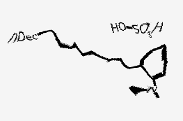 CCCCCCCCCCCCCCCCCCc1ccccc1N(C)C.O=S(=O)(O)O